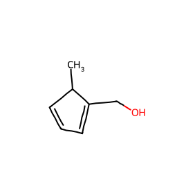 CC1C=CC=C1CO